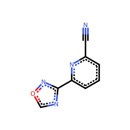 N#Cc1cccc(-c2ncon2)n1